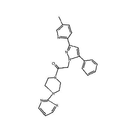 Cc1ccc(-c2cc(-c3ccccc3)n(CC(=O)N3CCN(c4ncccn4)CC3)n2)nc1